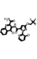 NC(=O)c1nc2ccccc2c(Cl)c1NC(=O)c1cc(OCC(F)(F)F)nn1-c1ncccc1Cl